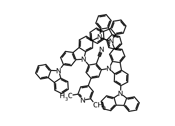 Cc1cc(-c2cc(-n3c4cc(-n5c6ccccc6c6ccccc65)ccc4c4ccc(-n5c6ccccc6c6ccccc65)cc43)c(C#N)c(-n3c4cc(-n5c6ccccc6c6ccccc65)ccc4c4ccc(-n5c6ccccc6c6ccccc65)cc43)c2)cc(C)n1